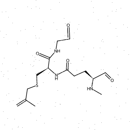 C=C(C)CSC[C@H](NC(=O)CC[C@@H](C=O)NC)C(=O)NCC=O